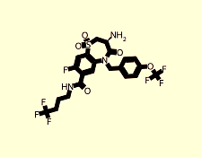 N[C@H]1CS(=O)(=O)c2cc(F)c(C(=O)NCCCC(F)(F)F)cc2N(Cc2ccc(OC(F)(F)F)cc2)C1=O